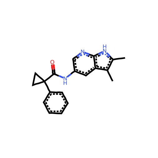 Cc1[nH]c2ncc(NC(=O)C3(c4ccccc4)CC3)cc2c1C